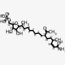 CC(=O)[C@H](CCCCCCC[C@H](C)C1OC(COP(=O)(O)O)C(O)C1O)CC[C@@H](C)/C=C\C(N)=O